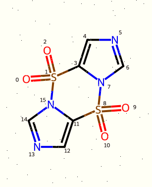 O=S1(=O)c2cncn2S(=O)(=O)c2cncn21